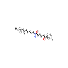 CC(C)CCCCCCCNC(=O)CCCCC(=O)C(C)C